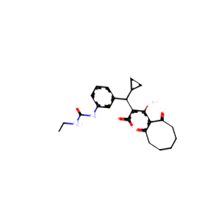 CCNC(=O)Nc1cccc(C(c2c(O)c3c(oc2=O)CCCCCC3=O)C2CC2)c1